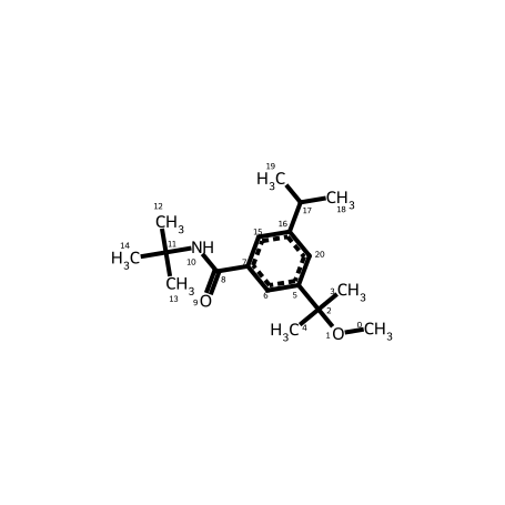 COC(C)(C)c1cc(C(=O)NC(C)(C)C)cc(C(C)C)c1